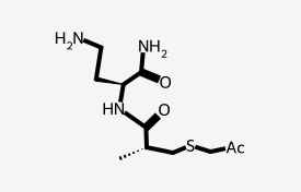 CC(=O)CSC[C@H](C)C(=O)N[C@@H](CCN)C(N)=O